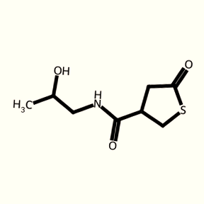 CC(O)CNC(=O)C1CSC(=O)C1